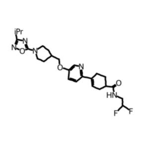 CC(C)c1noc(N2CCC(COc3ccc(C4=CCC(C(=O)NCC(F)F)CC4)nc3)CC2)n1